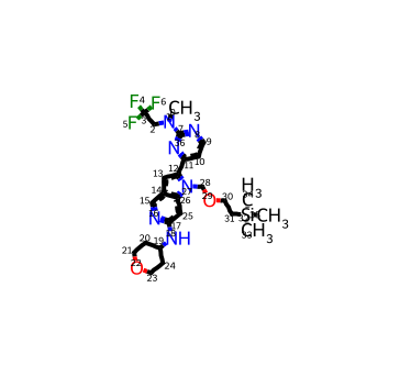 CN(CC(F)(F)F)c1nccc(-c2cc3cnc(NC4CCOCC4)cc3n2COCC[Si](C)(C)C)n1